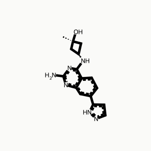 C[C@]1(O)C[C@H](Nc2nc(N)nc3cc(-c4ccn[nH]4)ccc23)C1